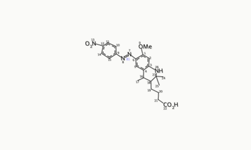 COc1cc2c(cc1/N=N/c1ccc([N+](=O)[O-])cc1)C(C)C(CCCC(=O)O)C(C)(C)N2